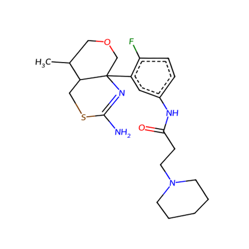 CC1COCC2(c3cc(NC(=O)CCN4CCCCC4)ccc3F)N=C(N)SCC12